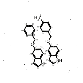 Cc1ccc(COc2ccc3[nH]ccc3c2)cc1.c1ccc(COc2ccc3[nH]ccc3c2)cc1